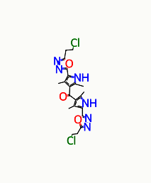 Cc1[nH]c(-c2nnc(CCCl)o2)c(C)c1C(=O)c1c(C)[nH]c(-c2nnc(CCCl)o2)c1C